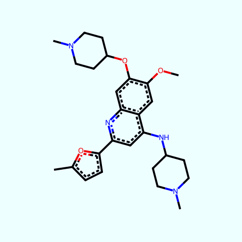 COc1cc2c(NC3CCN(C)CC3)cc(-c3ccc(C)o3)nc2cc1OC1CCN(C)CC1